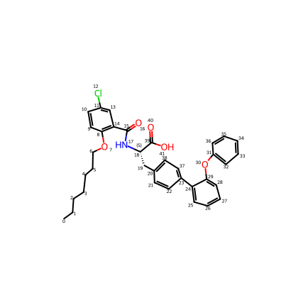 CCCCCCCOc1ccc(Cl)cc1C(=O)N[C@@H](Cc1ccc(-c2ccccc2Oc2ccccc2)cc1)C(=O)O